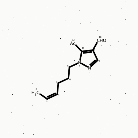 C/C=C\CCCn1ncc(C=O)c1C(C)=O